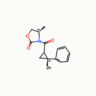 CC(C)[C@@]1(c2ccccc2)CC1C(=O)N1C(=O)OC[C@H]1C